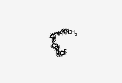 CN1CCN(CCCNCc2cccc(OCC3CCC4CN(c5noc6ccc(F)cc56)CCN4C3)n2)CC1